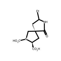 CCC1C[C@@]2(C[C@@H](C(=O)O)N(C(=O)O)C2)C(=O)N1